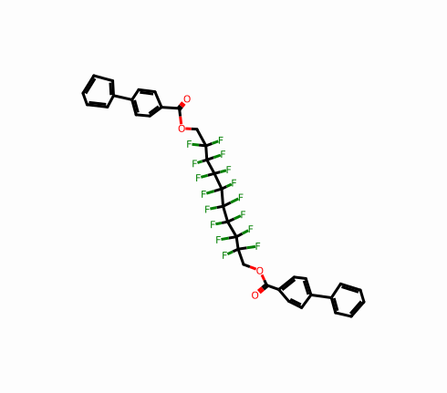 O=C(OCC(F)(F)C(F)(F)C(F)(F)C(F)(F)C(F)(F)C(F)(F)C(F)(F)C(F)(F)COC(=O)c1ccc(-c2ccccc2)cc1)c1ccc(-c2ccccc2)cc1